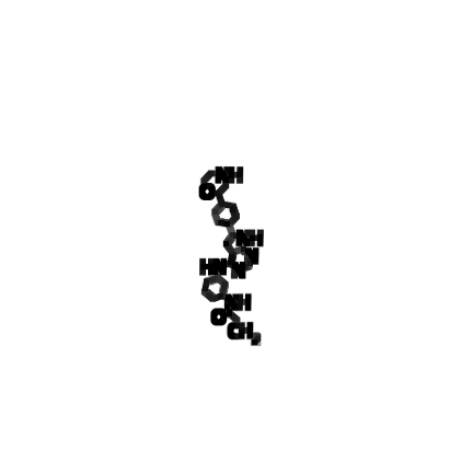 C=CC(=O)Nc1cccc(Nc2ncnc3[nH]c(-c4ccc(C5CNCCO5)cc4)cc23)c1